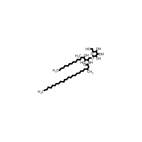 CCCCCCCCCCCCCCCCCCCCCCC(C)CC(=O)NC(COC1OC(CO)C(O)C(O)C1O)C(O)C(O)C(C)CCCCCCCCCCCC